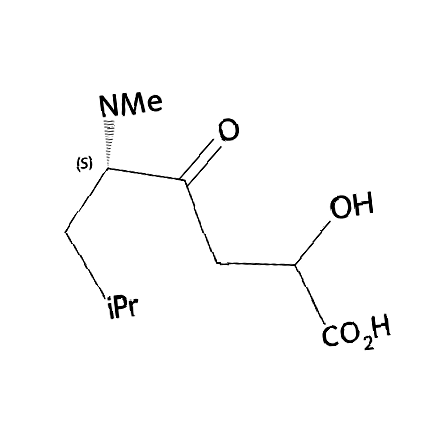 CN[C@@H](CC(C)C)C(=O)CC(O)C(=O)O